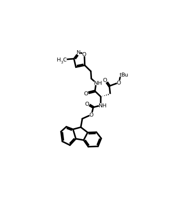 Cc1cc(CCNC(=O)[C@H](CC(=O)OC(C)(C)C)NC(=O)OCC2c3ccccc3-c3ccccc32)on1